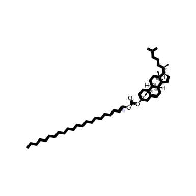 CCCCCCCCCCCCCCCCCCCC/C=C/OC(=O)O[C@H]1CC[C@@]2(C)C(=CC[C@H]3[C@@H]4CC[C@H]([C@H](C)CCCC(C)C)[C@@]4(C)CC[C@@H]32)C1